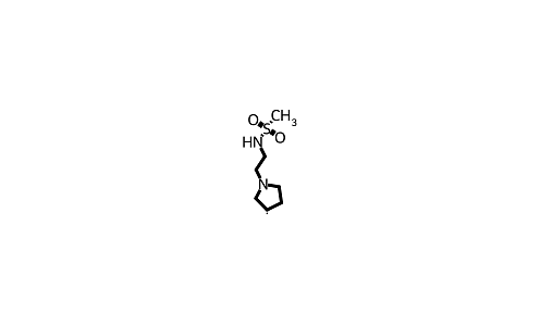 CS(=O)(=O)NCCN1C[CH]CC1